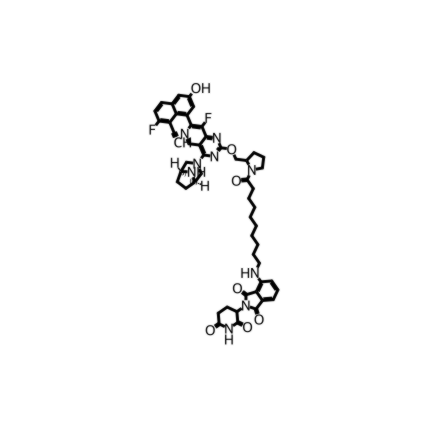 C#Cc1c(F)ccc2cc(O)cc(-c3ncc4c(N5C[C@H]6CC[C@@H](C5)N6)nc(OCC5CCCN5C(=O)CCCCCCCCCNc5cccc6c5C(=O)N(C5CCC(=O)NC5=O)C6=O)nc4c3F)c12